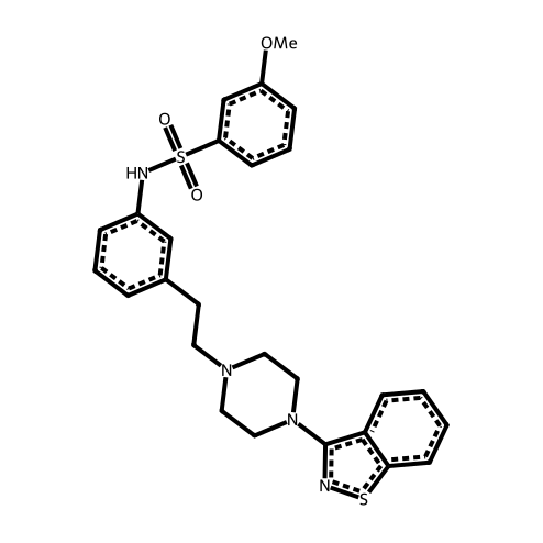 COc1cccc(S(=O)(=O)Nc2cccc(CCN3CCN(c4nsc5ccccc45)CC3)c2)c1